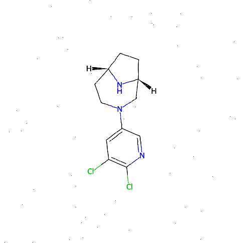 Clc1cc(N2CC[C@@H]3CC[C@H](C2)N3)cnc1Cl